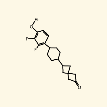 CCOc1ccc(C2CCC(C3CC4(CC(=O)C4)C3)CC2)c(F)c1F